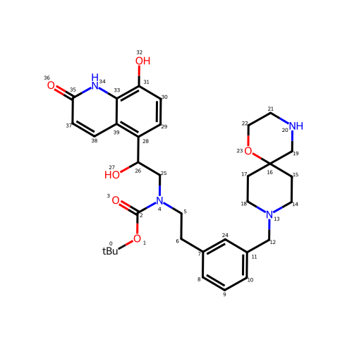 CC(C)(C)OC(=O)N(CCc1cccc(CN2CCC3(CC2)CNCCO3)c1)CC(O)c1ccc(O)c2[nH]c(=O)ccc12